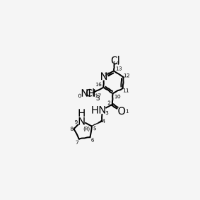 N.O=C(NC[C@H]1CCCN1)c1ccc(Cl)nc1Cl